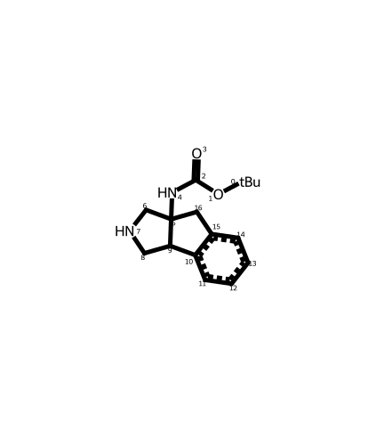 CC(C)(C)OC(=O)NC12CNCC1c1ccccc1C2